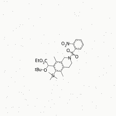 CCOC(=O)C(OC(C)(C)C)c1c(C)c2c(c(C)c1[Si](C)(C)C)CCN(S(=O)(=O)c1ccccc1[N+](=O)[O-])C2